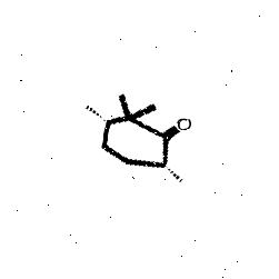 C[C@@H]1CC[C@H](C)C(C)(C)C1=O